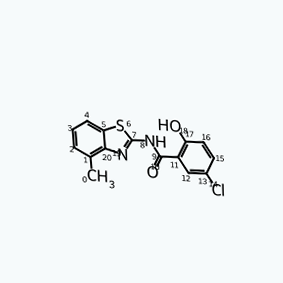 Cc1cccc2sc(NC(=O)c3cc(Cl)ccc3O)nc12